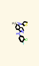 Cc1ccc2c(Nc3ccc(F)c(Cl)c3)nccc2c1Nc1ccsc1